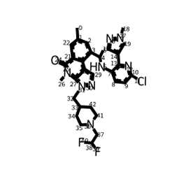 Cc1cc(C(C)Nc2ccc(Cl)nc2-c2cnn(C)c2)c2c(c1)c(=O)n(C)c1c2cnn1CC1CCN(CC(F)F)CC1